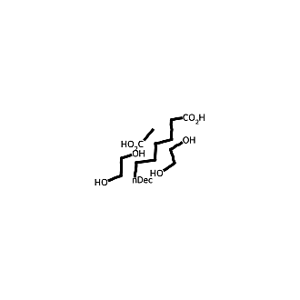 CC(=O)O.CCCCCCCCCCCCCCCC(=O)O.OCCO.OCCO